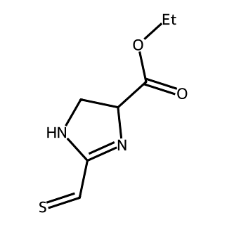 CCOC(=O)C1CNC(C=S)=N1